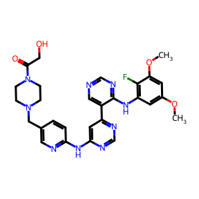 COc1cc(Nc2ncncc2-c2cc(Nc3ccc(CN4CCN(C(=O)CO)CC4)cn3)ncn2)c(F)c(OC)c1